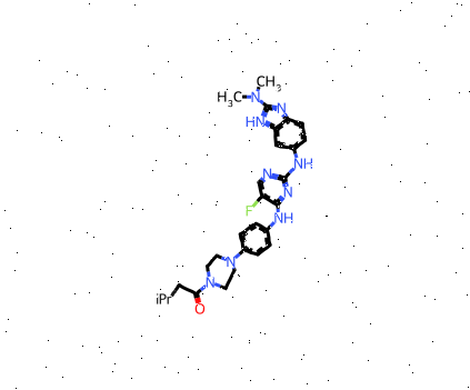 CC(C)CC(=O)N1CCN(c2ccc(Nc3nc(Nc4ccc5nc(N(C)C)[nH]c5c4)ncc3F)cc2)CC1